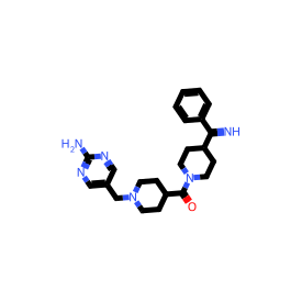 N=C(c1ccccc1)C1CCN(C(=O)C2CCN(Cc3cnc(N)nc3)CC2)CC1